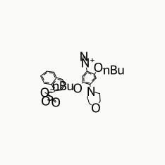 CCCCOc1cc(N2CCOCC2)c(OCCCC)cc1[N+]#N.O=S(=O)([O-])c1cccc2ccccc12